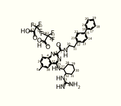 Cc1ccc2nc(C(=O)NCCc3ccc(-c4ccccc4)cc3)nc(NC3CCCCC3NC(=N)N)c2c1.O=C(O)C(F)(F)F.O=C(O)C(F)(F)F